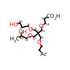 CC(=O)CCOCC(COCCCO)(COCCC(=O)O)COCC(C)O